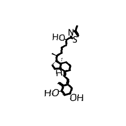 C=C1/C(=C\C=C2/CCC[C@]3(C)[C@@H]([C@@H](C)CCC[C@H](O)c4nc(C)cs4)CC[C@@H]23)C[C@@H](O)C[C@@H]1O